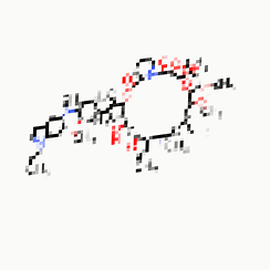 C=CCC1/C=C(\C)CC(C)CC(OC)C2OC(O)(C(=O)C(=O)N3CCCCC3C(=O)OC(C(C)=CC3CCC(N(C)c4ccc5c(ccn5CCC)c4)C(OC)C3)C(C)C(O)CC1=O)C(C)CC2OC